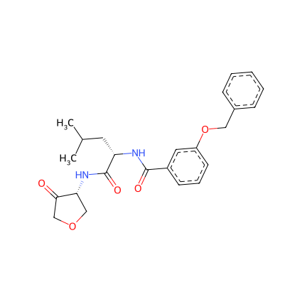 CC(C)C[C@H](NC(=O)c1cccc(OCc2ccccc2)c1)C(=O)N[C@@H]1COCC1=O